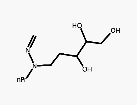 C=NN(CCC)CCC(O)C(O)CO